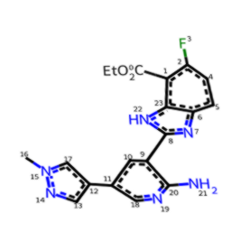 CCOC(=O)c1c(F)ccc2nc(-c3cc(-c4cnn(C)c4)cnc3N)[nH]c12